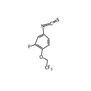 Fc1cc(N=C=S)ccc1OCC(F)(F)F